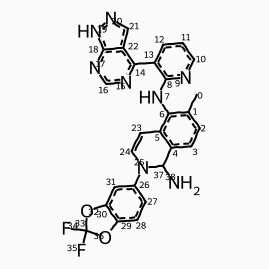 Cc1ccc2c(c1Nc1ncccc1-c1ncnc3[nH]ncc13)C=CN(c1ccc3c(c1)OC(F)(F)O3)C2N